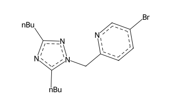 CCCCc1nc(CCCC)n(Cc2ccc(Br)cn2)n1